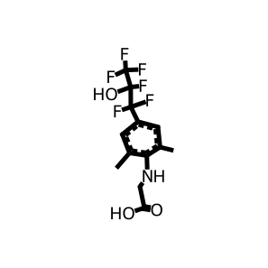 Cc1cc(C(F)(F)C(O)(F)C(F)(F)F)cc(C)c1NCC(=O)O